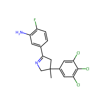 CC1(c2cc(Cl)c(Cl)c(Cl)c2)CN=C(c2ccc(F)c(N)c2)C1